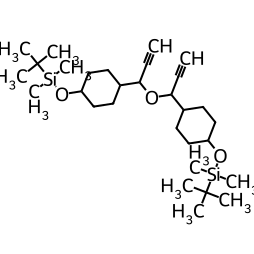 C#CC(OC(C#C)C1CCC(O[Si](C)(C)C(C)(C)C)CC1)C1CCC(O[Si](C)(C)C(C)(C)C)CC1